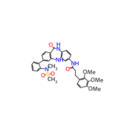 COc1ccc(CCC(=O)Nc2ccc3c(c2)Nc2cc(-c4ccccc4N(C)S(C)(=O)=O)ccc2C(=O)N3)c(OC)c1OC